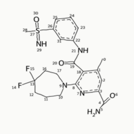 Cc1cc(C(N)=O)nc(N2CCCC(F)(F)CC2)c1C(=O)Nc1cccc(S(C)(=N)=O)c1